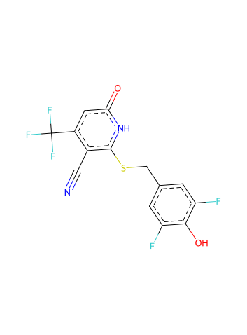 N#Cc1c(C(F)(F)F)cc(=O)[nH]c1SCc1cc(F)c(O)c(F)c1